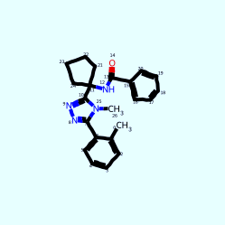 Cc1ccccc1-c1nnc(C2(NC(=O)c3ccccc3)CCCC2)n1C